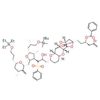 C=C(Br)C[C@@H](CC[C@@]12C[C@H]3O[C@H]4C(O1)[C@H]1O[C@@H](CC(O)C([C@H]5C(C[C@H]6O[C@@H](CCCO[Si](CC)(CC)CC)C[C@@H](C)C6=C)O[C@H](C[C@H](C)CO[Si](C)(C)C(C)(C)C)[C@@H]5C)S(=O)(=O)c5ccccc5)CC[C@@H]1O[C@H]4[C@H]3O2)OC(=O)c1ccccc1